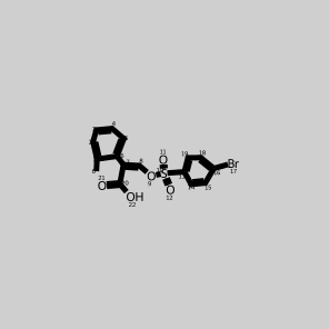 Cc1ccccc1C(=COS(=O)(=O)c1ccc(Br)cc1)C(=O)O